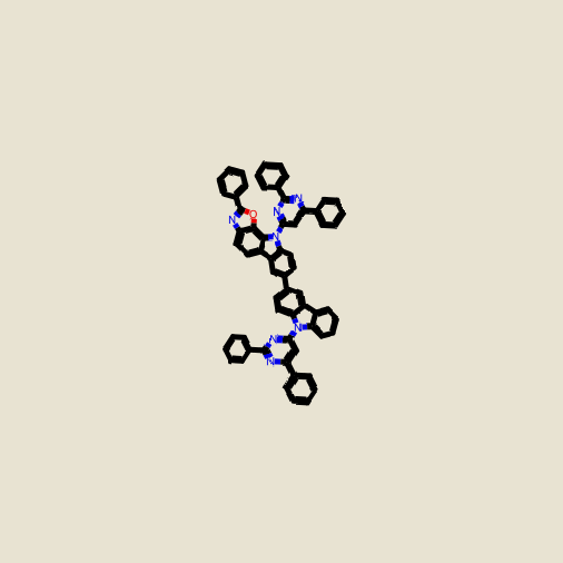 c1ccc(-c2cc(-n3c4ccccc4c4cc(-c5ccc6c(c5)c5ccc7nc(-c8ccccc8)oc7c5n6-c5cc(-c6ccccc6)nc(-c6ccccc6)n5)ccc43)nc(-c3ccccc3)n2)cc1